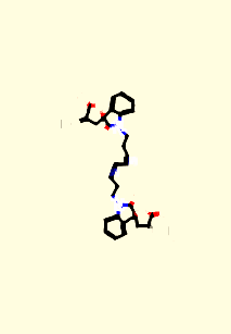 C=C1CC2(OC1=O)C(=O)N(CC/C=C\C=C/CCN1C(=O)C3(CC(=C)C(=O)O3)c3ccccc31)c1ccccc12